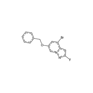 Fc1cc2c(Br)cc(OCc3ccccc3)cn2n1